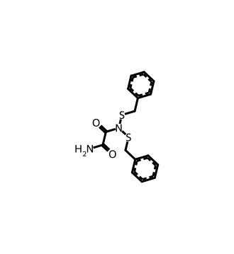 NC(=O)C(=O)N(SCc1ccccc1)SCc1ccccc1